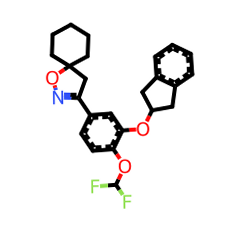 FC(F)Oc1ccc(C2=NOC3(CCCCC3)C2)cc1OC1Cc2ccccc2C1